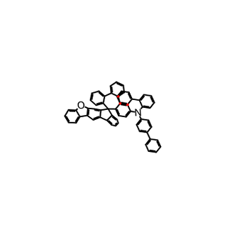 c1ccc(-c2ccc(N(c3ccc4c(c3)-c3ccccc3-c3ccccc3C43c4ccccc4-c4cc5c(cc43)oc3ccccc35)c3ccccc3-c3ccccc3)cc2)cc1